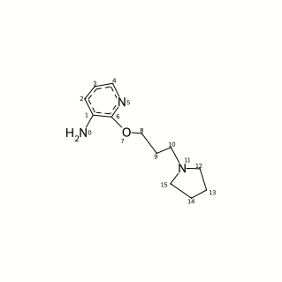 Nc1cccnc1OCCCN1CCCC1